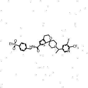 CCS(=O)(=O)c1ccc(CNC(=O)c2cc3c(s2)C2(CCN(C(C)c4cnc(C(F)(F)F)c(F)c4)CC2)OCC3)cc1